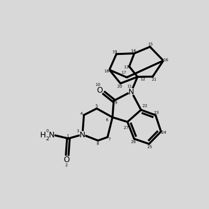 NC(=O)N1CCC2(CC1)C(=O)N(C13CC4CC(CC(C4)C1)C3)c1ccccc12